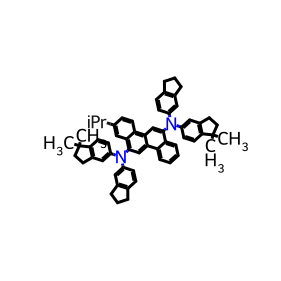 CC(C)c1ccc2c(c1)c(N(c1ccc3c(c1)CCC3)c1ccc3c(c1)CCC3(C)C)cc1c3ccccc3c(N(c3ccc4c(c3)CCC4)c3ccc4c(c3)CCC4(C)C)cc21